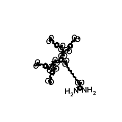 COC(=O)/C=C/c1ccc(C(=O)OCC(C)(COC(=O)c2ccc(/C=C/C(=O)OC)cc2)C(=O)Oc2cc(OC(=O)C(C)(COC(=O)c3ccc(/C=C/C(=O)OC)cc3)COC(=O)c3ccc(/C=C/C(=O)OC)cc3)cc(C(=O)OCCCCCCCCCCCOC(=O)c3cc(N)cc(N)c3)c2)cc1